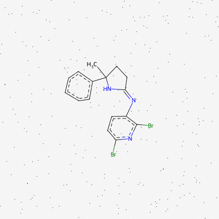 CC1(c2ccccc2)CC/C(=N/c2ccc(Br)nc2Br)N1